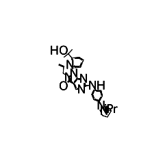 C=CCn1c(=O)c2cnc(Nc3ccc(N4CC5CC(C4)N5C(C)C)cc3)nc2n1-c1cccc(C(C)(C)O)n1